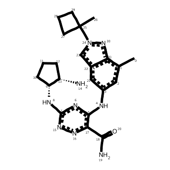 Cc1cc(Nc2nc(N[C@@H]3CCC[C@@H]3N)nnc2C(N)=O)cc2cn(C3(C)CCC3)nc12